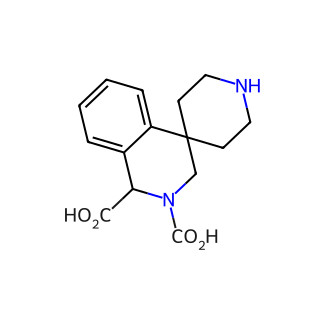 O=C(O)C1c2ccccc2C2(CCNCC2)CN1C(=O)O